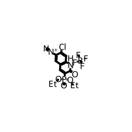 CCOP(=O)(OCC)c1cc2cc([N+]#N)c(Cl)cc2[nH]c1=O.F[B-](F)(F)F